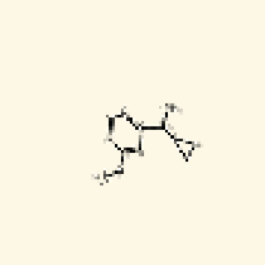 COc1ccnc([C@@H](N)C2CC2)c1